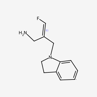 NC/C(=C\F)CN1CCc2c[c]ccc21